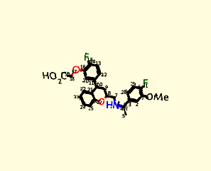 COc1cc([C@@H](C)NCC2CC(c3ccc(F)c(OCC(=O)O)c3)c3ccccc3O2)ccc1F